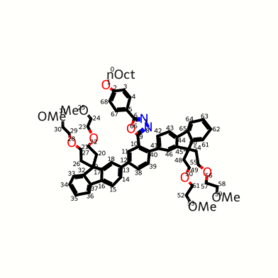 CCCCCCCCOc1ccc(-c2nnc(-c3cc(-c4ccc5c(c4)C(CCOCCOC)(CCOCCOC)c4ccccc4-5)ccc3-c3ccc4c(c3)C(CCOCCOC)(CCOCCOC)c3ccccc3-4)o2)cc1